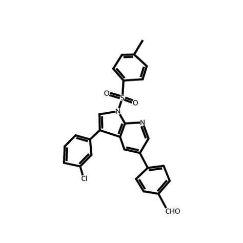 Cc1ccc(S(=O)(=O)n2cc(-c3cccc(Cl)c3)c3cc(-c4ccc(C=O)cc4)cnc32)cc1